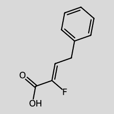 O=C(O)C(F)=CCc1ccccc1